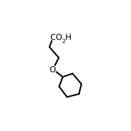 O=C(O)CCOC1CCCCC1